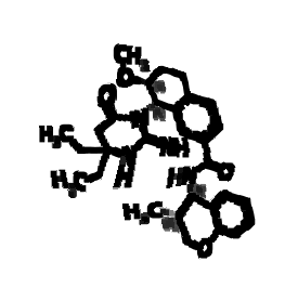 CCC1(CC)CC(=O)N([C@H]2c3cc(C(=O)N[C@@H]4c5ccccc5OC[C@@H]4C)ccc3CC[C@@H]2OC)C(=N)N1